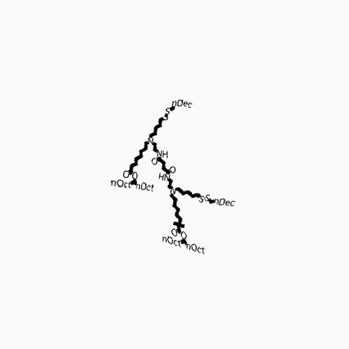 CCCCCCCCCCCSSCCCCCN(CCCCCCCC(=O)OC(CCCCCCCC)CCCCCCCC)CCNC(=O)CCC(=O)NCCN(CCCCCCC(C)(C)C(=O)OC(CCCCCCCC)CCCCCCCC)CCCCCSSCCCCCCCCCCC